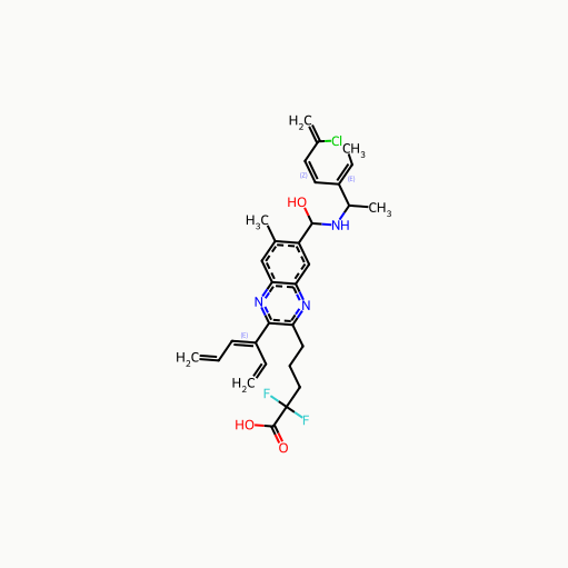 C=C/C=C(\C=C)c1nc2cc(C)c(C(O)NC(C)C(/C=C\C(=C)Cl)=C/C)cc2nc1CCCC(F)(F)C(=O)O